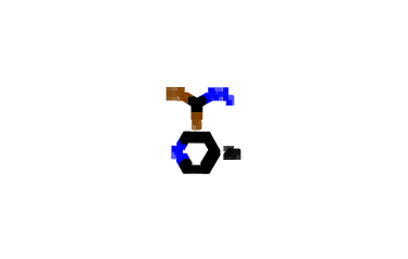 NC(=S)S.[Zn].c1ccncc1